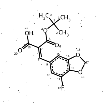 CC(C)(C)OC(=O)C(=Cc1cc(F)c2c(c1)OCO2)C(=O)O